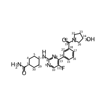 NC(=O)[C@H]1CC[C@H](Nc2ncc(F)c(-c3cccc(C(=O)N4CC[C@H](O)C4)c3)n2)CC1